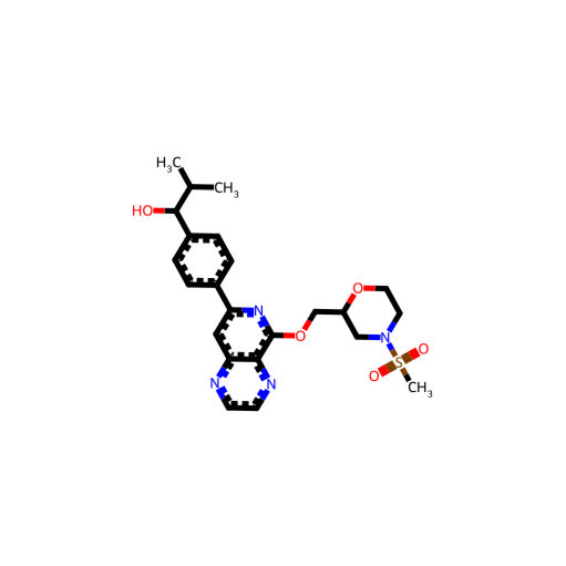 CC(C)C(O)c1ccc(-c2cc3nccnc3c(OCC3CN(S(C)(=O)=O)CCO3)n2)cc1